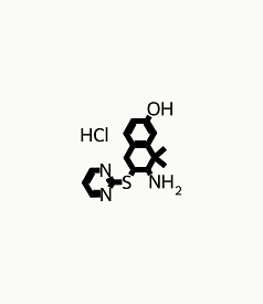 CC1(C)c2cc(O)ccc2CC(Sc2ncccn2)C1N.Cl